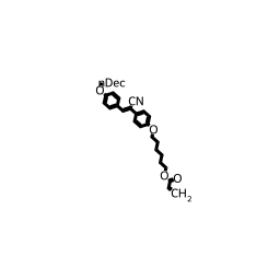 C=CC(=O)OCCCCCCOc1ccc(/C(C#N)=C/c2ccc(OCCCCCCCCCC)cc2)cc1